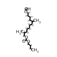 CCCCOC(=O)OCC(C)CCCCCC(C)CCCCOO